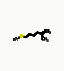 [CH2]CCSCCCCC(=C)C